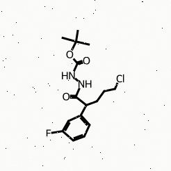 CC(C)(C)OC(=O)NNC(=O)C(CCCCl)c1cccc(F)c1